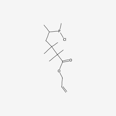 C=CCOC(=O)C(C)(C)C(C)(C)CC(C)P(C)Cl